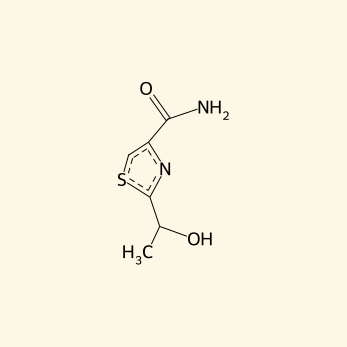 CC(O)c1nc(C(N)=O)cs1